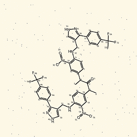 CC(C(=O)C(C)c1ccc(NCc2c[nH]nc2-c2ccc(C(F)(F)F)cc2)c([N+](=O)[O-])c1)c1ccc(NCc2c[nH]nc2-c2ccc(C(F)(F)F)cc2)c([N+](=O)[O-])c1